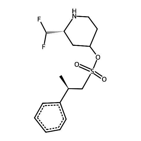 C[C@@H](CS(=O)(=O)OC1CCN[C@@H](C(F)F)C1)c1ccccc1